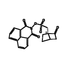 O=C1c2cccc3cccc(c23)C(=O)N1OS(=O)(=O)C[C@@]12CCC1CC2=O